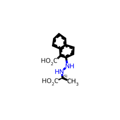 C[C@H](NNc1ccc2ccccc2c1C(=O)O)C(=O)O